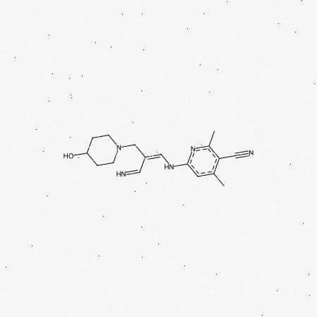 Cc1cc(N/C=C(\C=N)CN2CCC(O)CC2)nc(C)c1C#N